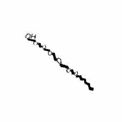 C=CCCCCCCOCCOCCOCCOCCOCCOCCO